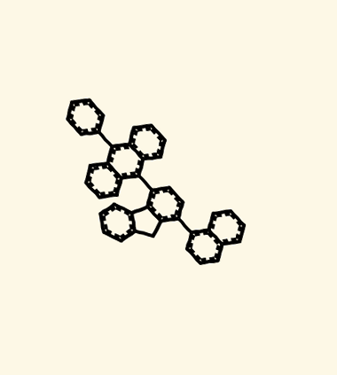 c1ccc(-c2c3ccccc3c(-c3ccc(-c4cccc5ccccc45)c4c3-c3ccccc3C4)c3ccccc23)cc1